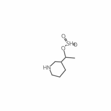 CC(O[SH](=O)=O)C1CCCNC1